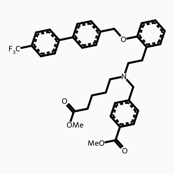 COC(=O)CCCCN(CCc1ccccc1OCc1ccc(-c2ccc(C(F)(F)F)cc2)cc1)Cc1ccc(C(=O)OC)cc1